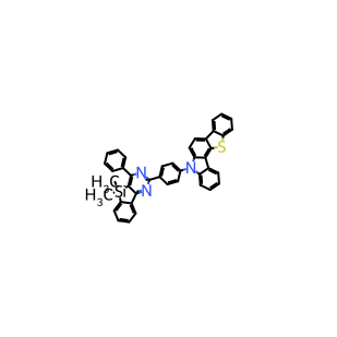 C[Si]1(C)c2ccccc2-c2nc(-c3ccc(-n4c5ccccc5c5c6sc7ccccc7c6ccc54)cc3)nc(-c3ccccc3)c21